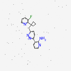 Nc1ncccc1-c1ccc([CH]C2(c3ncccc3F)CCC2)nn1